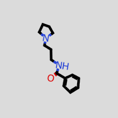 O=C(NCCCN1CCCC1)c1ccccc1